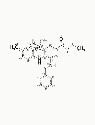 CCOC(=O)c1cc(NCc2ccccc2)c(Nc2ccc(C)cc2)c(S(N)(=O)=O)c1